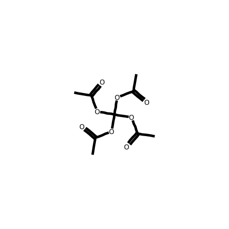 CC(=O)OC(OC(C)=O)(OC(C)=O)OC(C)=O